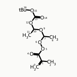 C=C(C)C(=O)OOC(C)OC(C)OC(=O)OC(C)(C)C